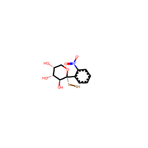 O=[N+]([O-])c1cc[c]cc1[C@]1(SS)OC[C@@H](O)[C@@H](O)[C@@H]1O